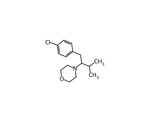 CC(C)C(Cc1ccc(Cl)cc1)N1CCOCC1